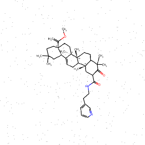 C=C(OC)[C@]12CCC(C)(C)CC1C1=CCC3[C@@]4(C)CC(C(=O)NCCc5cccnc5)C(=O)C(C)(C)C4CC[C@@]3(C)[C@]1(C)CC2